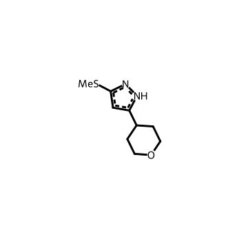 CSc1cc(C2CCOCC2)[nH]n1